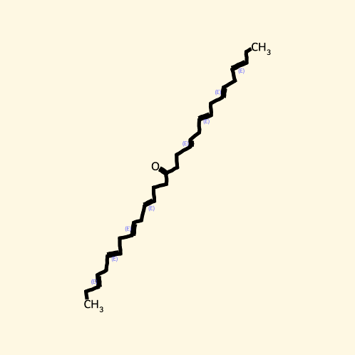 CC/C=C/C/C=C/C/C=C/C/C=C/CCC(=O)CC/C=C/C/C=C/C/C=C/C/C=C/CC